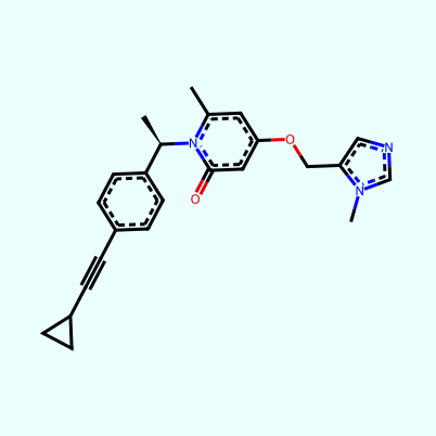 Cc1cc(OCc2cncn2C)cc(=O)n1[C@H](C)c1ccc(C#CC2CC2)cc1